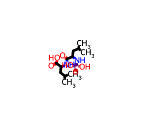 CC(C)CC(NC(=O)C(CC(C)C)NP(=O)(O)O)C(=O)O